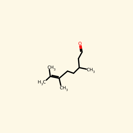 CC(C)=C(C)CCC(C)CC=O